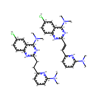 CN(C)c1cccc(C=Cc2nc(N(C)C)c3cc(Cl)ccc3n2)n1.CN(C)c1cccc(CCc2nc(N(C)C)c3cc(Cl)ccc3n2)n1